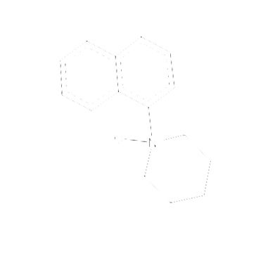 [O-][N+]1(c2cccc3ccccc23)CCCCC1